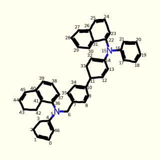 C1=CCCC(N(Cc2ccc(C3C=CC(N(c4ccccc4)c4cccc5ccccc45)=CC3)cc2)c2cccc3c2CCC=C3)=C1